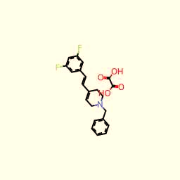 Fc1cc(F)cc(C=CC2=CCN(Cc3ccccc3)CC2)c1.O=C(O)C(=O)O